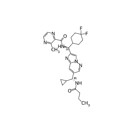 CCCC(=O)N[C@@H](c1cnn2cc([C@@H](NC(=O)c3nccnc3C)C3CCC(F)(F)CC3)nc2c1)C1CC1